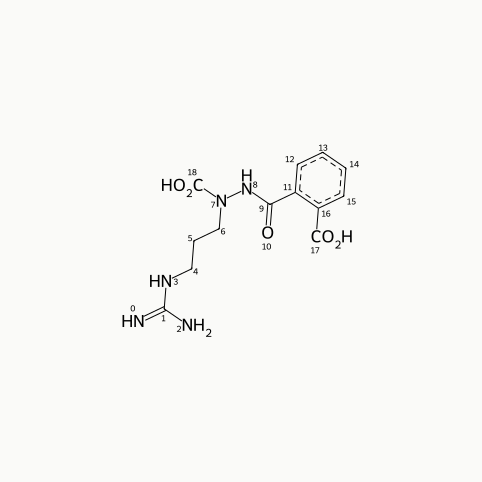 N=C(N)NCCCN(NC(=O)c1ccccc1C(=O)O)C(=O)O